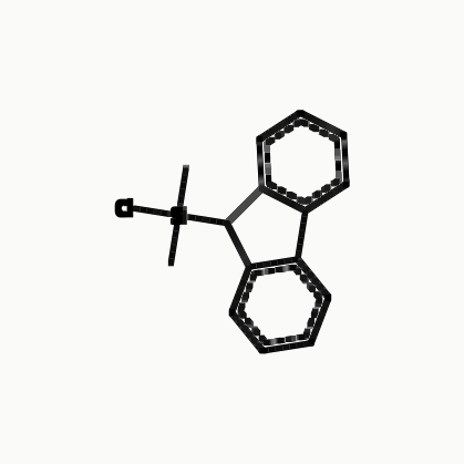 C[Si](C)(Cl)C1c2ccccc2-c2ccccc21